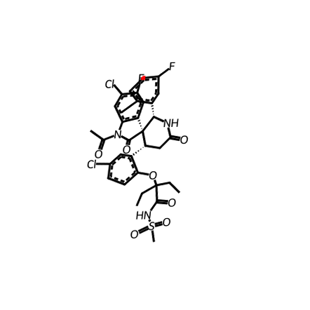 CCC(CC)(Oc1ccc(Cl)cc1[C@H]1CC(=O)N[C@@H](c2cc(F)ccc2C)[C@]12C(=O)N(C(C)=O)c1cc(Cl)c(F)cc12)C(=O)NS(C)(=O)=O